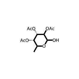 CC(=O)OC1C(O)OC(C)[C@H](OC(C)=O)[C@@H]1OC(C)=O